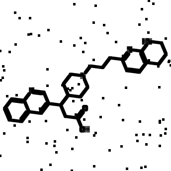 O=C(O)CC(c1cnc2ccccc2c1)C1CCN(CCCc2ccc3c(n2)NCCC3)CC1